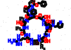 CC[C@H](C)[C@@H]1NC(=O)[C@@H](CCCNC(=N)N)NC(=O)[C@H](CC(C)C)NC(=O)[C@H]([C@H](O)C(C)C)NC(=O)[C@@H](NC(=O)[C@H](CC(C)C)NC(=O)[C@@H](CC(C)C)NC(=O)OCc2ccccc2)[C@@H](c2ccccc2)OC(=O)[C@H](CO)NC(=O)[C@H]([C@H](O)C(=O)NCc2cccnc2)NC(=O)CNC(=O)[C@H]([C@H](C)O)NC1=O